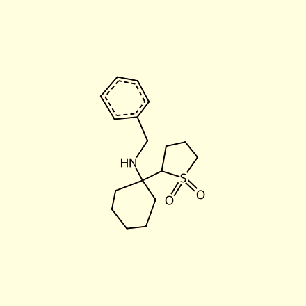 O=S1(=O)CCCC1C1(NCc2ccccc2)CCCCC1